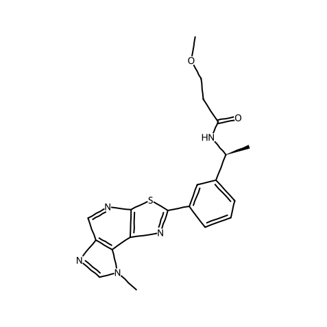 COCCC(=O)N[C@@H](C)c1cccc(-c2nc3c(ncc4ncn(C)c43)s2)c1